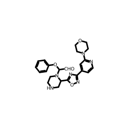 O=CC(Oc1ccccc1)N1CCNCC1c1nc(-c2ccnc(N3CCOCC3)c2)no1